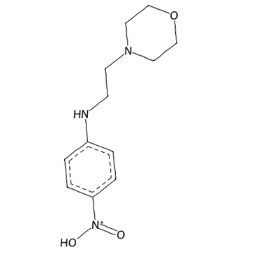 O=[N+](O)c1ccc(NCCN2CCOCC2)cc1